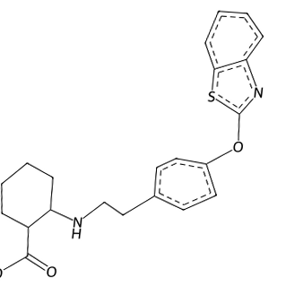 O=C(O)C1CCCCC1NCCc1ccc(Oc2nc3ccccc3s2)cc1